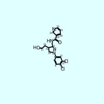 O=C(NC1=NN(c2ccc(Cl)c(Cl)c2)CC1CCO)c1cccnc1